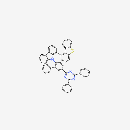 c1ccc(-c2nc(-c3ccccc3)nc(-c3ccc(-n4c5ccccc5c5cccc(-c6cccc7sc8ccccc8c67)c54)c(-c4ccccc4)c3)n2)cc1